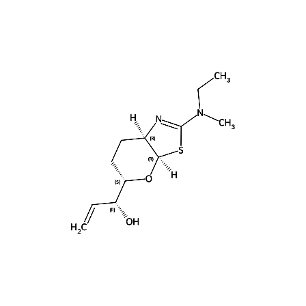 C=C[C@@H](O)[C@@H]1CC[C@H]2N=C(N(C)CC)S[C@H]2O1